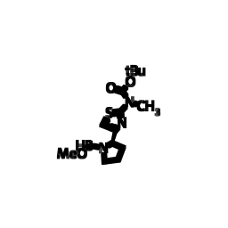 COBN1CCC[C@@H]1c1csc(N(C)C(=O)OC(C)(C)C)n1